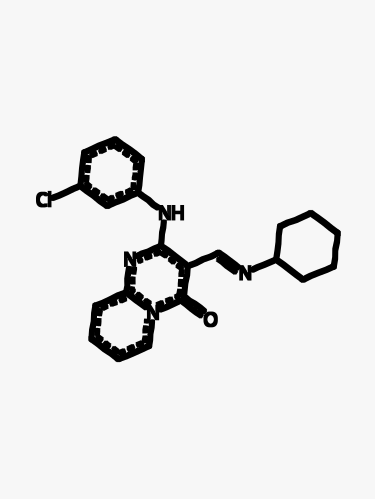 O=c1c(C=NC2CCCCC2)c(Nc2cccc(Cl)c2)nc2ccccn12